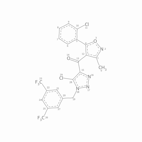 Cc1noc(-c2ccccc2Cl)c1C(=O)c1nnn(Cc2cc(C(F)(F)F)cc(C(F)(F)F)c2)c1Cl